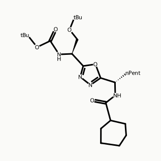 CCCCC[C@H](NC(=O)C1CCCCC1)c1nnc([C@H](COC(C)(C)C)NC(=O)OC(C)(C)C)o1